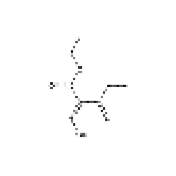 CCOC(=O)/C(=N/O)C(=O)CC